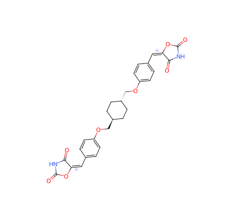 O=C1NC(=O)/C(=C\c2ccc(OC[C@H]3CC[C@H](COc4ccc(/C=C5/OC(=O)NC5=O)cc4)CC3)cc2)O1